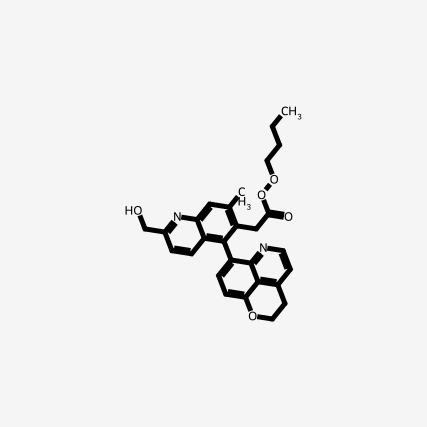 CCCCOOC(=O)Cc1c(C)cc2nc(CO)ccc2c1-c1ccc2c3c(ccnc13)CCO2